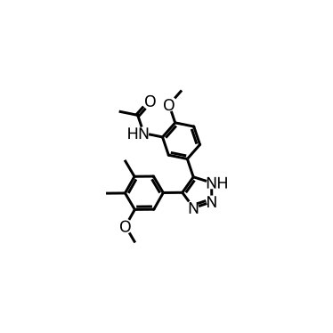 COc1ccc(-c2[nH]nnc2-c2cc(C)c(C)c(OC)c2)cc1NC(C)=O